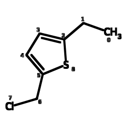 CCc1ccc(CCl)s1